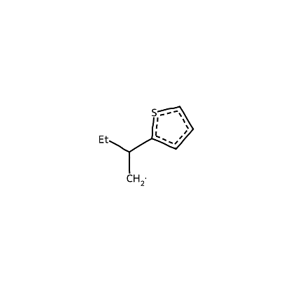 [CH2]C(CC)c1cccs1